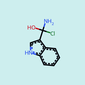 NC(O)(Cl)c1c[nH]c2ccccc12